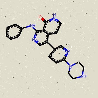 O=c1[nH]ccc2c(-c3ccc(N4CCNCC4)nc3)cnc(Nc3ccccc3)c12